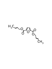 CC=CCOC(=O)c1ccc(C(=O)OCC=CC)o1